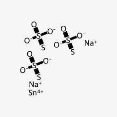 O=S([O-])([O-])=S.O=S([O-])([O-])=S.O=S([O-])([O-])=S.[Na+].[Na+].[Sn+4]